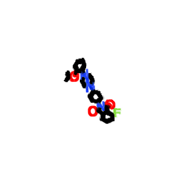 CC(C)Oc1ccccc1N1CCN([C@H]2CC[C@H](N3C(=O)c4cccc(F)c4C3=O)CC2)CC1